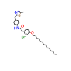 CCCCCCCCCCCCCCOc1ccc(CC(=O)Nc2ccc(CC3=[N+]C=C(C)S3)cc2)cc1.[Br-]